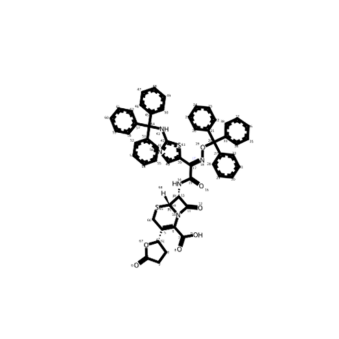 O=C1CC[C@@H](C2=C(C(=O)O)N3C(=O)[C@@H](NC(=O)/C(=N/OC(c4ccccc4)(c4ccccc4)c4ccccc4)c4cnc(NC(c5ccccc5)(c5ccccc5)c5ccccc5)s4)[C@H]3SC2)O1